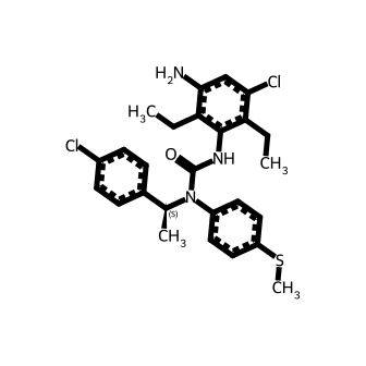 CCc1c(N)cc(Cl)c(CC)c1NC(=O)N(c1ccc(SC)cc1)[C@@H](C)c1ccc(Cl)cc1